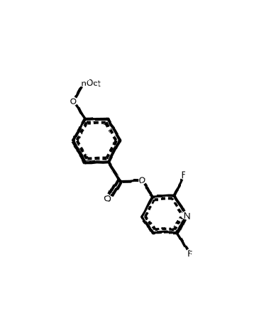 CCCCCCCCOc1ccc(C(=O)Oc2ccc(F)nc2F)cc1